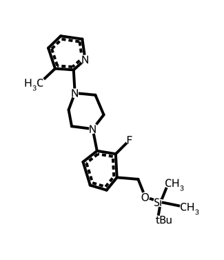 Cc1cccnc1N1CCN(c2cccc(CO[Si](C)(C)C(C)(C)C)c2F)CC1